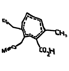 CCc1ccc(C)c(C(=O)O)c1OC